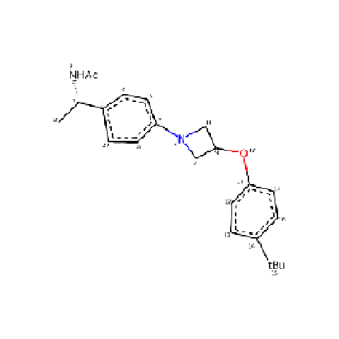 CC(=O)N[C@@H](C)c1ccc(N2CC(Oc3ccc(C(C)(C)C)cc3)C2)cc1